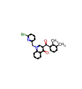 Cc1cccc(C(=O)c2cn(Cc3cccc(Br)n3)c3ccccc3c2=O)c1C